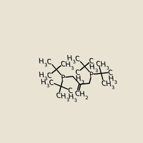 C=C(CP(C(C)(C)C)C(C)(C)C)CP(C(C)(C)C)C(C)(C)C